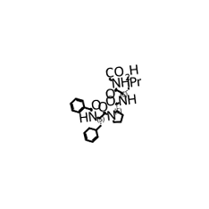 CC(C)C[C@H](NC(=O)[C@@H]1CCCN1C(=O)[C@H](CC1C=CC=CC1)NC(=O)c1ccccc1)C(=O)NCC(=O)O